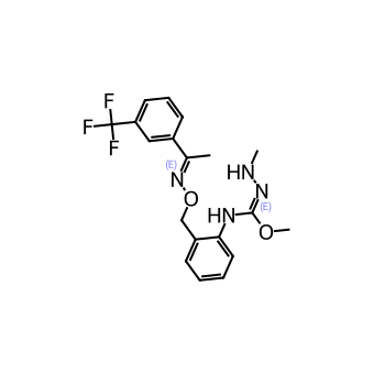 CN/N=C(\Nc1ccccc1CO/N=C(\C)c1cccc(C(F)(F)F)c1)OC